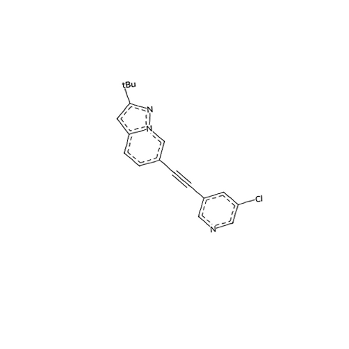 CC(C)(C)c1cc2ccc(C#Cc3cncc(Cl)c3)cn2n1